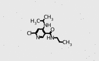 CCCNC(=O)c1cnc(Cl)cc1NC(C)C